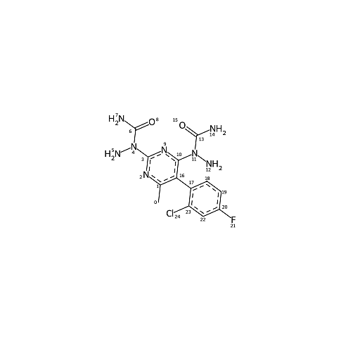 Cc1nc(N(N)C(N)=O)nc(N(N)C(N)=O)c1-c1ccc(F)cc1Cl